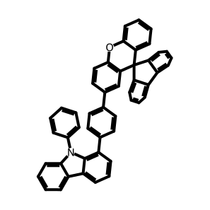 c1ccc(-n2c3ccccc3c3cccc(-c4ccc(-c5ccc6c(c5)C5(c7ccccc7O6)c6ccccc6-c6ccccc65)cc4)c32)cc1